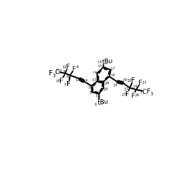 CC(C)(C)c1cc(C#CC(F)(F)C(F)(F)C(F)(F)F)c2cc(C(C)(C)C)cc(C#CC(F)(F)C(F)(F)C(F)(F)F)c2c1